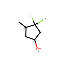 CC1CC(O)CC1(F)F